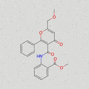 COCc1cc(=O)c(C(=O)Nc2ccccc2C(=O)OC)c(-c2ccccc2)o1